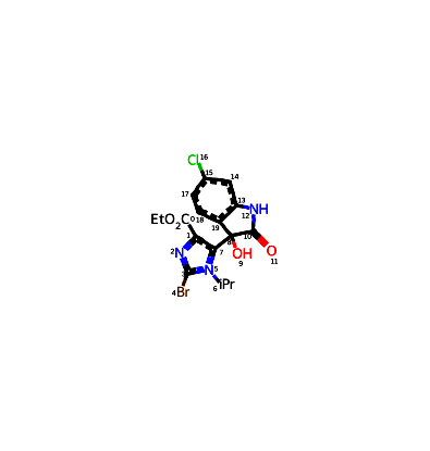 CCOC(=O)c1nc(Br)n(C(C)C)c1C1(O)C(=O)Nc2cc(Cl)ccc21